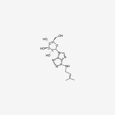 CC(C)=CCNc1ncnc2c1ncn2C1O[C@H](CO)[C@@H](O)[C@H](O)[C@H]1O